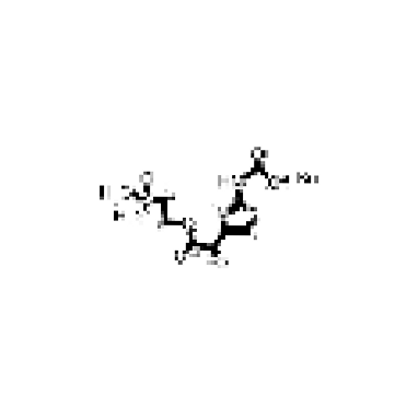 CC(C)(C)OC(=O)Nc1nc(C(=O)C(=O)OCC[Si](C)(C)C)cs1